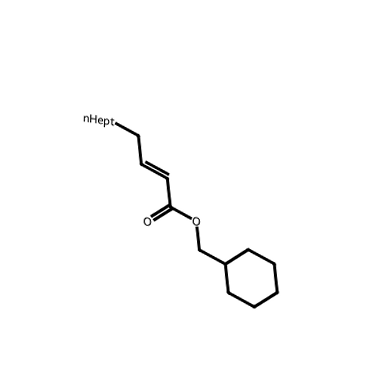 CCCCCCCCC=CC(=O)OCC1CCCCC1